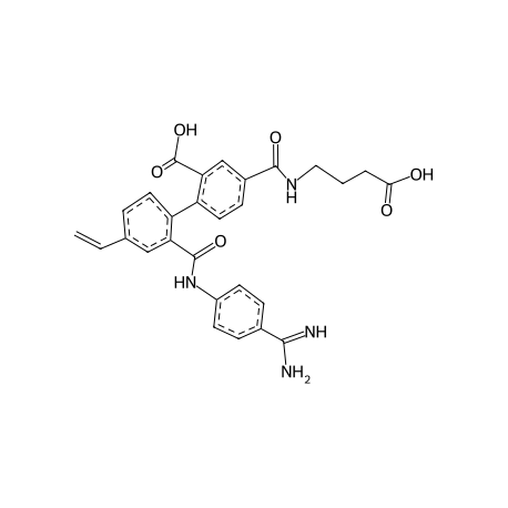 C=Cc1ccc(-c2ccc(C(=O)NCCCC(=O)O)cc2C(=O)O)c(C(=O)Nc2ccc(C(=N)N)cc2)c1